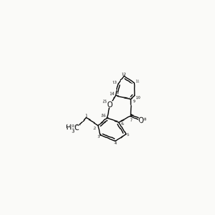 CCc1cccc2c(=O)c3ccccc3oc12